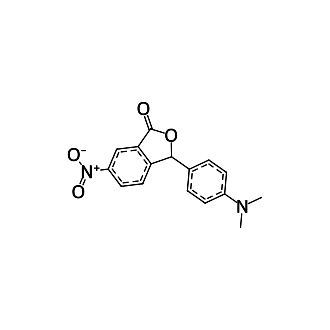 CN(C)c1ccc(C2OC(=O)c3cc([N+](=O)[O-])ccc32)cc1